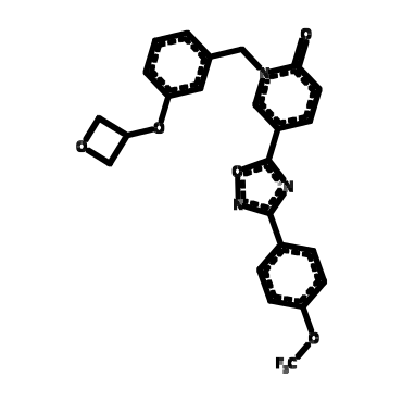 O=c1ccc(-c2nc(-c3ccc(OC(F)(F)F)cc3)no2)cn1Cc1cccc(OC2COC2)c1